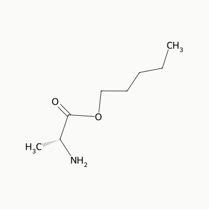 CCCCCOC(=O)[C@@H](C)N